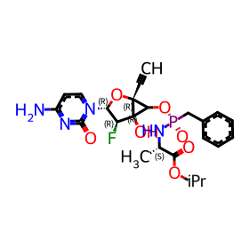 C#C[C@]12O[C@@H](n3ccc(N)nc3=O)[C@H](F)[C@@]1(O)C2OP(=O)(Cc1ccccc1)N[C@@H](C)C(=O)OC(C)C